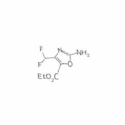 CCOC(=O)c1oc(N)nc1C(F)F